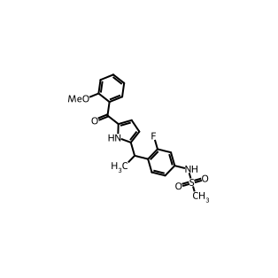 COc1ccccc1C(=O)c1ccc(C(C)c2ccc(NS(C)(=O)=O)cc2F)[nH]1